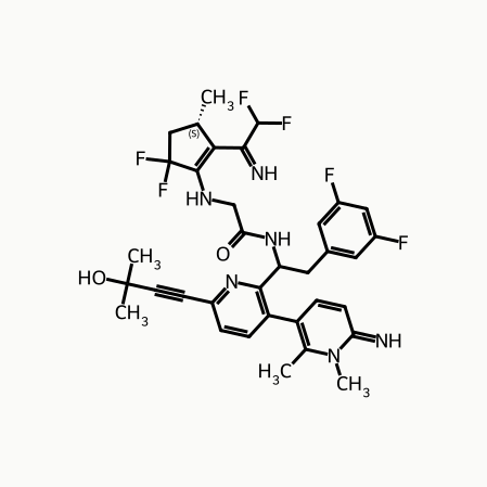 Cc1c(-c2ccc(C#CC(C)(C)O)nc2C(Cc2cc(F)cc(F)c2)NC(=O)CNC2=C(C(=N)C(F)F)[C@@H](C)CC2(F)F)ccc(=N)n1C